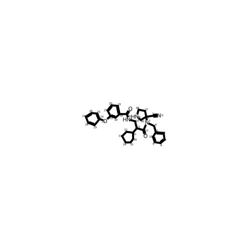 N#CC1(N(Cc2ccccc2)C(=O)C(CNC(=O)c2cccc(Oc3ccccc3)c2)C2CCCCC2)CCNC1